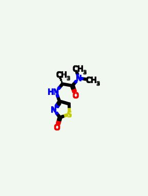 C[C@@H](NC1=NC(=O)SC1)C(=O)N(C)C